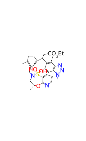 CCOC(=O)CC(c1ccc(C)c(CN2C[C@@H](C)Oc3ncccc3S2(O)O)c1)c1ccc2c(nnn2C)c1C